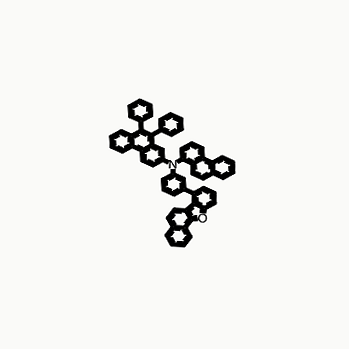 c1ccc(-c2c(-c3ccccc3)c3cc(N(c4cccc(-c5cccc6oc7c8ccccc8ccc7c56)c4)c4cccc5c4ccc4ccccc45)ccc3c3ccccc23)cc1